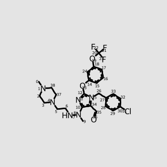 CN1CCN(CCNN(C)c2nc(Oc3cccc(OC(F)(F)F)c3)n(Cc3ccc(Cl)cc3)c2C=O)CC1